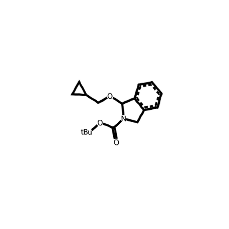 CC(C)(C)OC(=O)N1Cc2ccccc2C1OCC1CC1